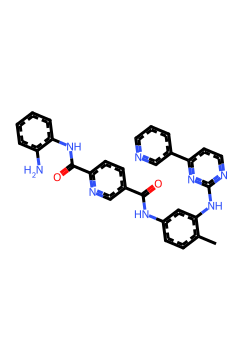 Cc1ccc(NC(=O)c2ccc(C(=O)Nc3ccccc3N)nc2)cc1Nc1nccc(-c2cccnc2)n1